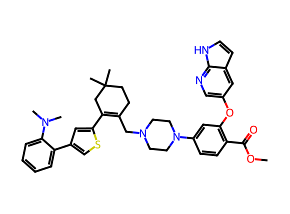 COC(=O)c1ccc(N2CCN(CC3=C(c4cc(-c5ccccc5N(C)C)cs4)CC(C)(C)CC3)CC2)cc1Oc1cnc2[nH]ccc2c1